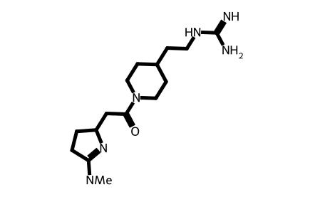 CNC1=NC(CC(=O)N2CCC(CCNC(=N)N)CC2)CC1